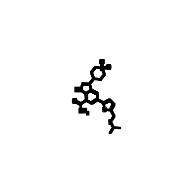 CC(C)SCc1ccc(-c2cc(C(N)=O)c3[nH]cc(C4CCS(=O)(=O)CC4)c3c2)s1